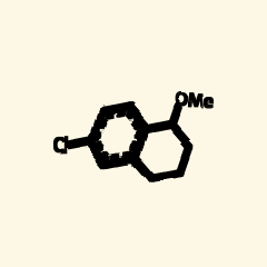 COC1CCCc2cc(Cl)ccc21